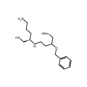 CCCCCCCCCCCC(CCN[C@@H](CO)CCCN)OCc1ccccc1